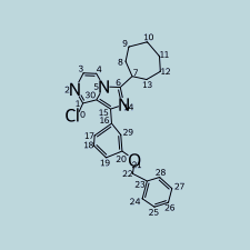 Clc1nccn2c(C3CCCCCC3)nc(-c3cccc(OCc4ccccc4)c3)c12